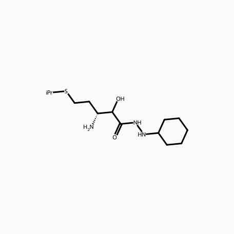 CC(C)SCC[C@@H](N)C(O)C(=O)NNC1CCCCC1